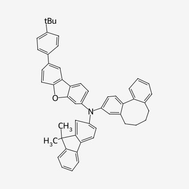 CC(C)(C)c1ccc(-c2ccc3oc4cc(N(c5ccc6c(c5)CCCCc5ccccc5-6)c5ccc6c(c5)C(C)(C)c5ccccc5-6)ccc4c3c2)cc1